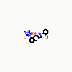 Cc1cccc(-n2nnn(C)c2=O)c1C(O)c1ccn(-c2ccccc2Cl)n1